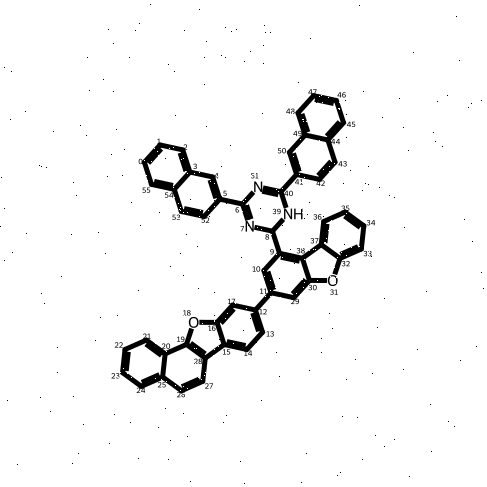 c1ccc2cc(C3=NC(c4cc(-c5ccc6c(c5)oc5c7ccccc7ccc65)cc5oc6ccccc6c45)NC(c4ccc5ccccc5c4)=N3)ccc2c1